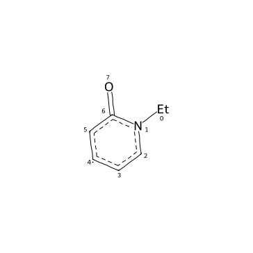 CCn1cc[c]cc1=O